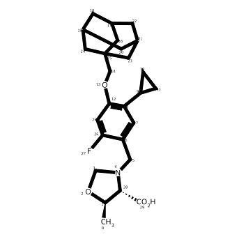 C[C@H]1OCN(Cc2cc(C3CC3)c(OCC34CC5CC(CC(C5)C3)C4)cc2F)[C@@H]1C(=O)O